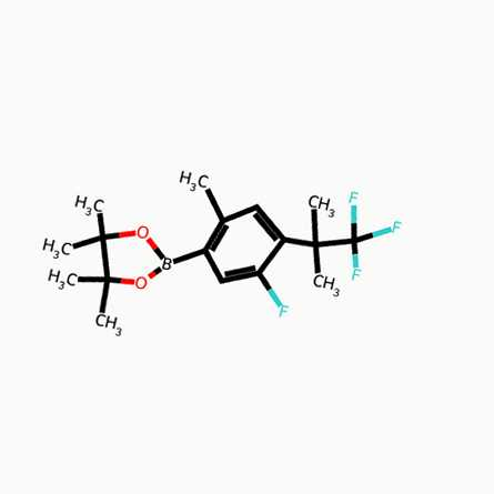 Cc1cc(C(C)(C)C(F)(F)F)c(F)cc1B1OC(C)(C)C(C)(C)O1